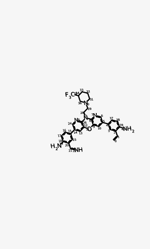 C=Cc1cc(-c2cnc3c(c2)Oc2cc(-c4ccc(N)c(C=N)c4)cnc2N3CCN2CCCC(C(F)(F)F)C2)ccc1N